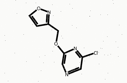 Clc1cncc(OCc2ccon2)n1